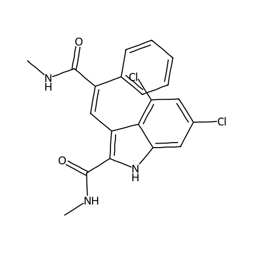 CNC(=O)/C(=C/c1c(C(=O)NC)[nH]c2cc(Cl)cc(Cl)c12)c1ccccc1